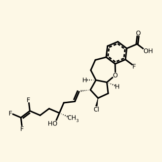 C[C@@](O)(C/C=C/[C@@H]1[C@H]2CCc3ccc(C(=O)O)c(F)c3O[C@H]2C[C@H]1Cl)CCC(F)=C(F)F